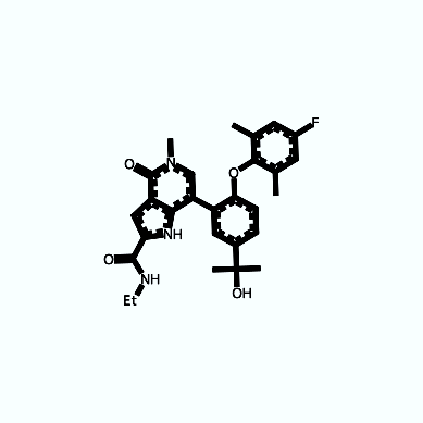 CCNC(=O)c1cc2c(=O)n(C)cc(-c3cc(C(C)(C)O)ccc3Oc3c(C)cc(F)cc3C)c2[nH]1